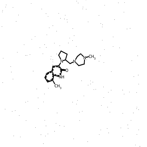 Cc1cccc2cc(N3CCCC3CN3CCN(C)CC3)c(=O)[nH]c12